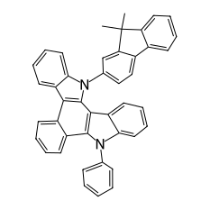 CC1(C)c2ccccc2-c2ccc(-n3c4ccccc4c4c5ccccc5c5c(c6ccccc6n5-c5ccccc5)c43)cc21